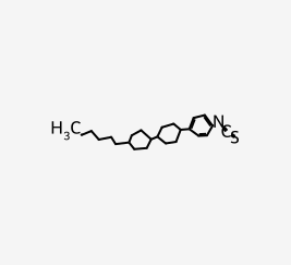 CCCCCCC1CCC(C2CCC(c3ccc(N=C=S)cc3)CC2)CC1